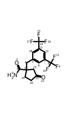 NC(=O)C1(Cc2cc(C(F)(F)F)cc(C(F)(F)F)c2)CCC(=O)C1